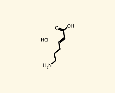 Cl.NCCCC=CC(=O)O